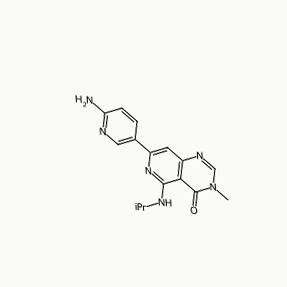 CC(C)Nc1nc(-c2ccc(N)nc2)cc2ncn(C)c(=O)c12